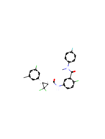 Cc1cc(Cl)cc([C@H]2[C@H](C(=O)Nc3ccc(Cl)c(C(=O)N(C)c4ccc(F)cc4)c3)C2(Cl)Cl)c1